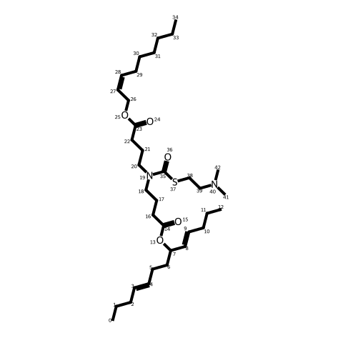 CCC/C=C/CCC(/C=C/CCC)OC(=O)CCCN(CCCC(=O)OC/C=C\CCCCCC)C(=O)SCCN(C)C